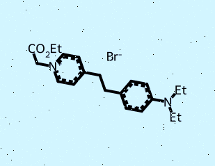 CCOC(=O)C[n+]1ccc(CCc2ccc(N(CC)CC)cc2)cc1.[Br-]